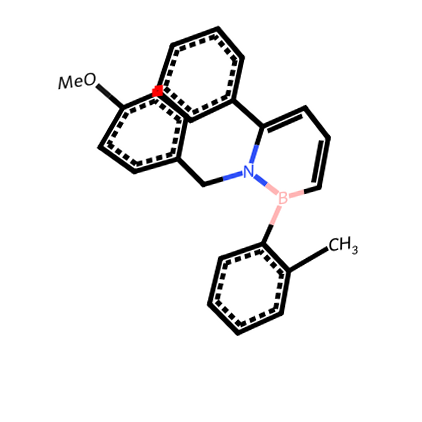 COc1ccc(CN2B(c3ccccc3C)C=CC=C2c2ccccc2)cc1